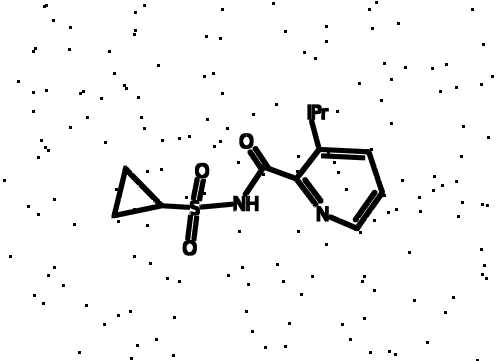 CC(C)c1cccnc1C(=O)NS(=O)(=O)C1CC1